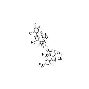 CN(C(=O)OCCCOC(=O)N(C)c1c([S+]([O-])C(F)(F)F)c(C#N)nn1-c1c(Cl)cc(C(F)(F)F)cc1Cl)c1c([S+]([O-])C(F)(F)F)c(C#N)nn1-c1c(Cl)cc(C(F)(F)F)cc1Cl